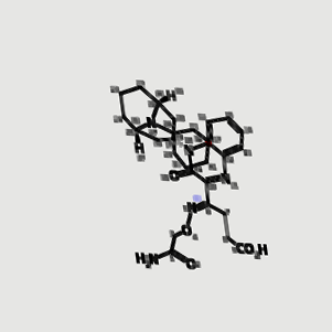 NC(=O)CO/N=C(\CCC(=O)O)c1nc2ccccc2n([C@H]2C[C@H]3CCC[C@@H](C2)N3C2CCCCC2)c1=O